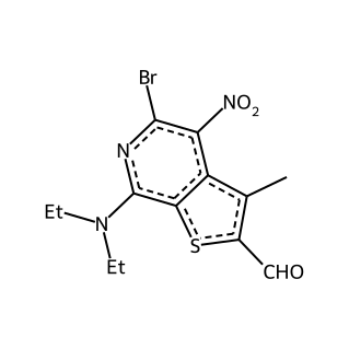 CCN(CC)c1nc(Br)c([N+](=O)[O-])c2c(C)c(C=O)sc12